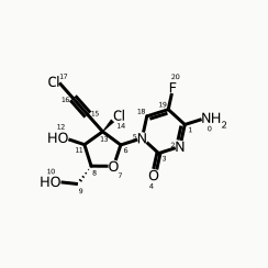 Nc1nc(=O)n(C2O[C@H](CO)C(O)[C@]2(Cl)C#CCl)cc1F